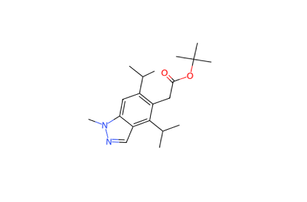 CC(C)c1cc2c(cnn2C)c(C(C)C)c1CC(=O)OC(C)(C)C